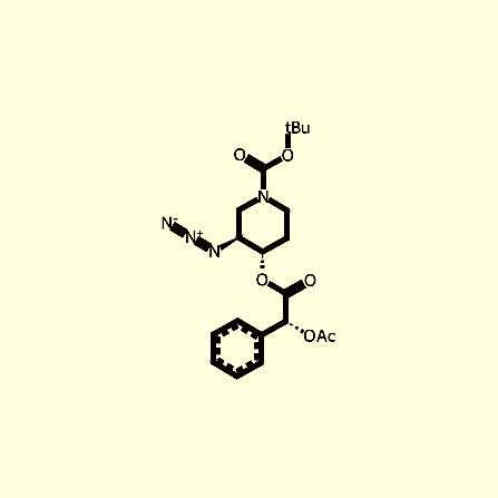 CC(=O)O[C@@H](C(=O)O[C@H]1CCN(C(=O)OC(C)(C)C)C[C@@H]1N=[N+]=[N-])c1ccccc1